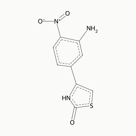 Nc1cc(-c2csc(=O)[nH]2)ccc1[N+](=O)[O-]